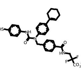 O=C(NCC(F)(F)C(=O)O)c1ccc(CN(C(=O)Nc2ccc(S)cc2)c2ccc(C3=CCCCC3)cc2)cc1